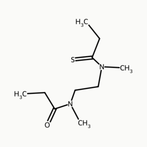 CCC(=O)N(C)CCN(C)C(=S)CC